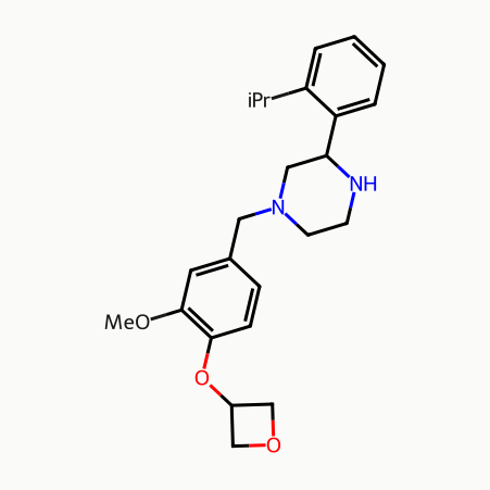 COc1cc(CN2CCNC(c3ccccc3C(C)C)C2)ccc1OC1COC1